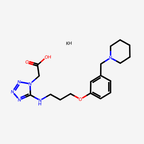 O=C(O)Cn1nnnc1NCCCOc1cccc(CN2CCCCC2)c1.[KH]